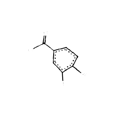 O=C(Cl)c1ccc(Br)c(I)c1